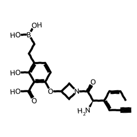 C#C/C=C(\C=C/C)[C@@H](N)C(=O)N1CC(Oc2ccc(CCB(O)O)c(O)c2C(=O)O)C1